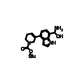 CC(C)(C)OC(=O)N1CCC=C(c2ccc(C(N)O)c3[nH]ccc23)C1